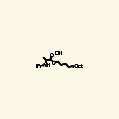 CCCCCCCCCCCCOC(=O)C(C)NC(C)C.Cl